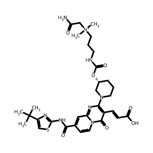 CC(C)(C)c1csc(NC(=O)c2ccn3c(=O)c(C=CC(=O)O)c(N4CCC[C@@H](OC(=O)NCCC[N+](C)(C)CC(N)=O)C4)nc3c2)n1